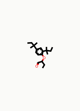 CCC([C]=O)Oc1ccc(C(C)(C)CC)cc1C(C)(C)CC